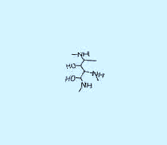 CNC(C)C(O)C(NC)C(O)NC